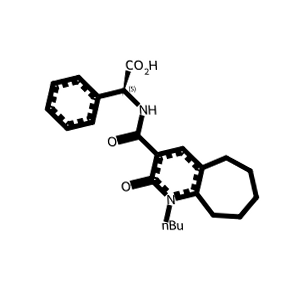 CCCCn1c2c(cc(C(=O)N[C@H](C(=O)O)c3ccccc3)c1=O)CCCCC2